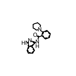 O=C(Nc1n[nH]c2ccccc12)c1ccccc1N1CCCCC1